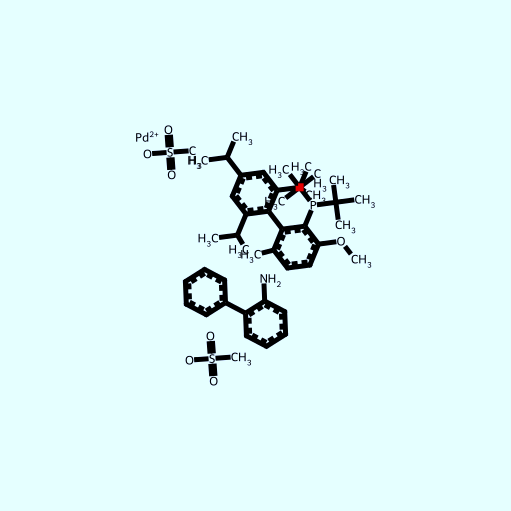 COc1ccc(C)c(-c2c(C(C)C)cc(C(C)C)cc2C(C)C)c1P(C(C)(C)C)C(C)(C)C.CS(=O)(=O)[O-].CS(=O)(=O)[O-].Nc1ccccc1-c1ccccc1.[Pd+2]